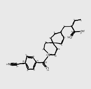 CCC(CC1CCC2(CC1)CCN(C(=O)c1ccc(C#N)cc1)CC2)C(=O)O